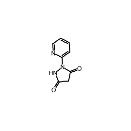 O=C1CC(=O)N(c2ccccn2)N1